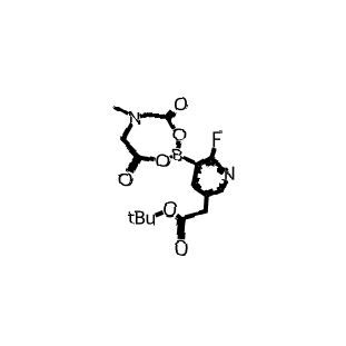 CN1CC(=O)OB(c2cc(CC(=O)OC(C)(C)C)cnc2F)OC(=O)C1